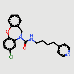 O=C(NCCCCc1ccncc1)N1Cc2ccccc2Oc2ccc(Cl)cc21